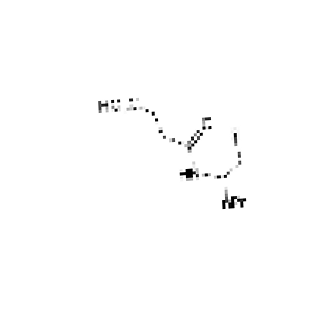 CCCC(CS)NC(=O)CCC(=O)O